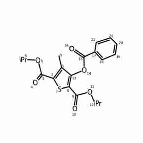 Cc1c(C(=O)OC(C)C)sc(C(=O)OC(C)C)c1OC(=O)c1ccccc1